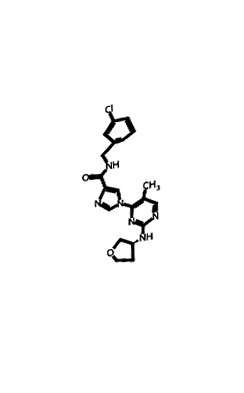 Cc1cnc(N[C@@H]2CCOC2)nc1-n1cnc(C(=O)NCc2cccc(Cl)c2)c1